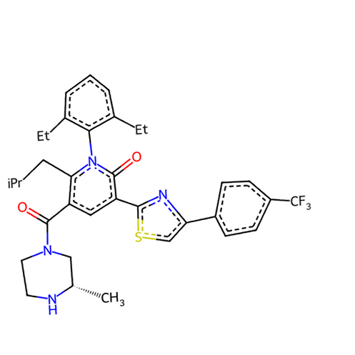 CCc1cccc(CC)c1-n1c(CC(C)C)c(C(=O)N2CCN[C@@H](C)C2)cc(-c2nc(-c3ccc(C(F)(F)F)cc3)cs2)c1=O